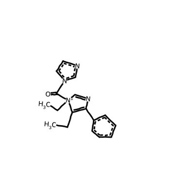 CCC1=C(c2ccccc2)N=C[N+]1(CC)C(=O)n1ccnc1